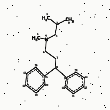 C[C](C)CN(C)CCC(c1ccccc1)c1ccccc1